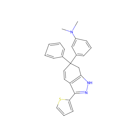 CN(C)c1cccc(C2(c3ccccc3)C=Cc3c(-c4cccs4)n[nH]c3C2)c1